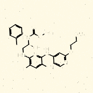 COCCOc1cc(Nc2nc(N[C@H](Cc3ccccc3)[C@H](C)NC(=O)OC(C)(C)C)c(F)cc2C#N)ccn1